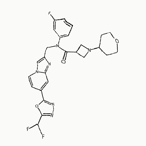 O=C(C1CN(C2CCOCC2)C1)N(Cc1cn2ccc(-c3nnc(C(F)F)o3)cc2n1)c1cccc(F)c1